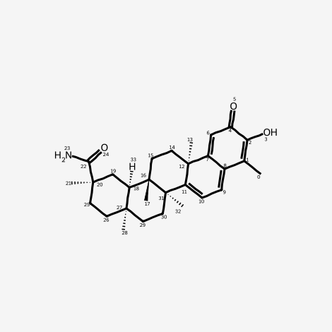 CC1=C(O)C(=O)C=C2C1=CC=C1[C@@]2(C)CC[C@@]2(C)[C@@H]3C[C@](C)(C(N)=O)CC[C@]3(C)CC[C@]12C